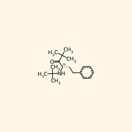 CC(C)(C)N[C@@H](CCc1ccccc1)C(=O)C(C)(C)C